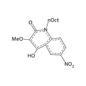 CCCCCCCCn1c(=O)c(OC)c(O)c2cc([N+](=O)[O-])ccc21